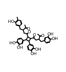 CC(=O)C(CC(=O)C1C(C(=O)CC(Cc2ccc(O)c(O)c2)C(C)=O)C(c2ccc(O)c(O)c2)C1c1ccc(O)c(O)c1)Cc1ccc(C)c(O)c1